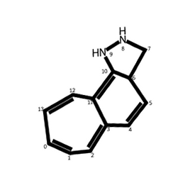 C1=CC=C2C=CC3CNNC3=C2C=C1